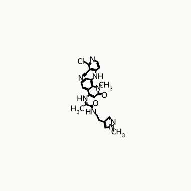 C[C@@H](Nc1cc(=O)n(C)c2c(Nc3ccnc(Cl)c3C#N)cccc12)C(=O)NCCc1cnn(C)c1